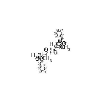 CC(C)(CCC(=O)CCC(=O)CCC(C)(C)C(=O)OCc1ccccc1)C(=O)CCc1ccccc1